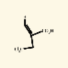 O=C(O)/C(=C\Br)CC(Cl)(Cl)Cl